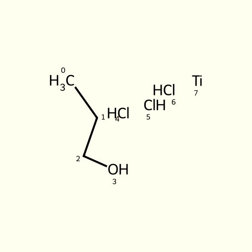 CCCO.Cl.Cl.Cl.[Ti]